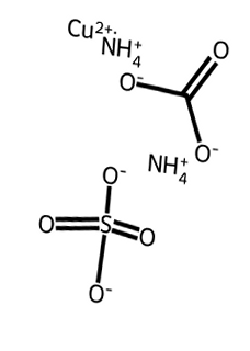 O=C([O-])[O-].O=S(=O)([O-])[O-].[Cu+2].[NH4+].[NH4+]